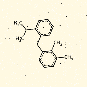 Cc1cccc(Cc2ccccc2C(C)C)c1C